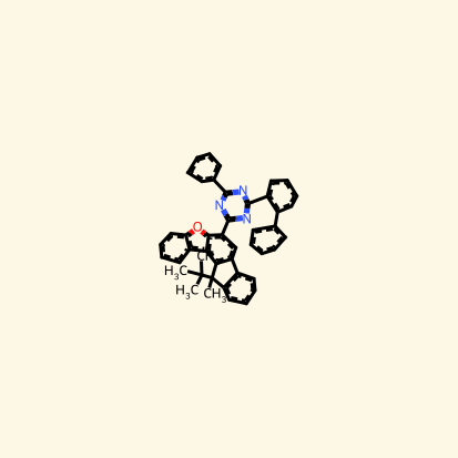 CC(C)(C)C1(C)c2ccccc2-c2cc(-c3nc(-c4ccccc4)nc(-c4ccccc4-c4ccccc4)n3)c3oc4ccccc4c3c21